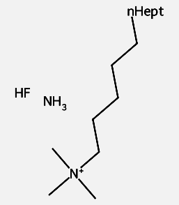 CCCCCCCCCCCC[N+](C)(C)C.F.N